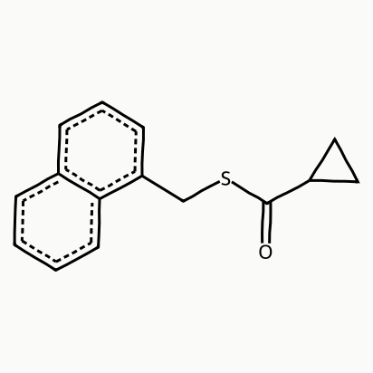 O=C(SCc1cccc2ccccc12)C1CC1